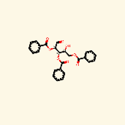 O=C[C@H](OC(=O)c1ccccc1)[C@H](OC(=O)c1ccccc1)[C@@H](O)COC(=O)c1ccccc1